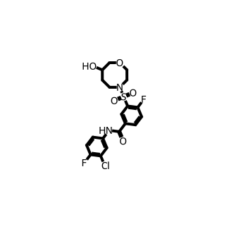 O=C(Nc1ccc(F)c(Cl)c1)c1ccc(F)c(S(=O)(=O)N2CCOCC(O)CC2)c1